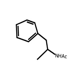 CC(=O)NC(C)Cc1ccccc1